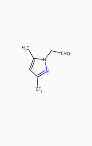 Cc1cc(C(F)(F)F)nn1C[C]=O